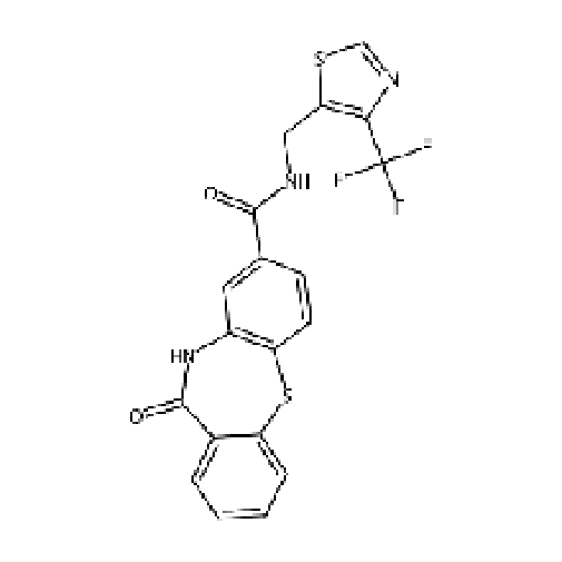 O=C(NCc1scnc1C(F)(F)F)c1ccc2c(c1)NC(=O)c1ccccc1S2